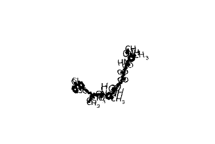 COCC[N+](C)(CCCOc1ccc(Cl)c2c(=O)c3ccccc3sc12)CCOC(=O)Nc1ccc(C)c(NC(=O)OCCOC(=O)CCC(=O)OCCOC(=O)Nc2ccc(C)c(NC(C)=O)c2)c1